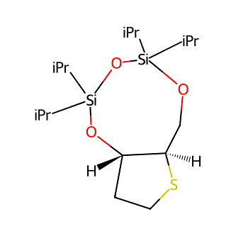 CC(C)[Si]1(C(C)C)OC[C@H]2SCC[C@@H]2O[Si](C(C)C)(C(C)C)O1